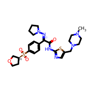 CN1CCN(Cc2cnc(NC(=O)/C(=N/N3CCCC3)c3ccc(S(=O)(=O)[C@H]4CCOC4)cc3)s2)CC1